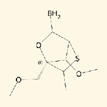 BC1O[C@]2(COC)C(C)SC1C2OC